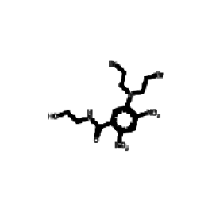 O=C(NCCO)c1cc(N(CCBr)CCBr)c([N+](=O)[O-])cc1[N+](=O)[O-]